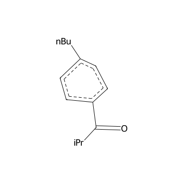 CCCCc1ccc(C(=O)C(C)C)cc1